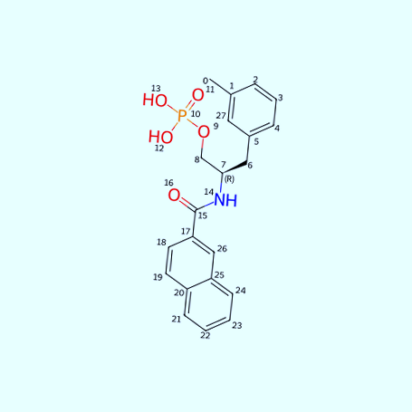 Cc1cccc(C[C@H](COP(=O)(O)O)NC(=O)c2ccc3ccccc3c2)c1